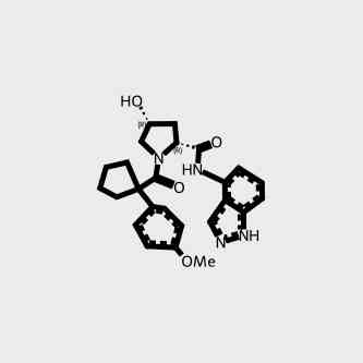 COc1ccc(C2(C(=O)N3C[C@H](O)C[C@@H]3C(=O)Nc3cccc4[nH]ncc34)CCCC2)cc1